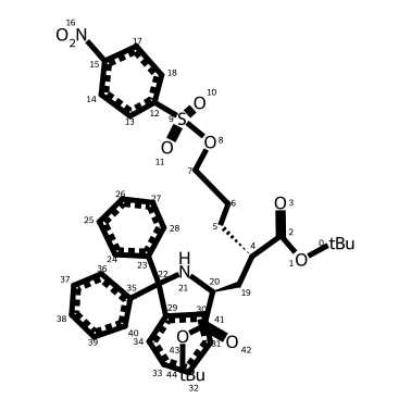 CC(C)(C)OC(=O)[C@@H](CCCOS(=O)(=O)c1ccc([N+](=O)[O-])cc1)C[C@H](NC(c1ccccc1)(c1ccccc1)c1ccccc1)C(=O)OC(C)(C)C